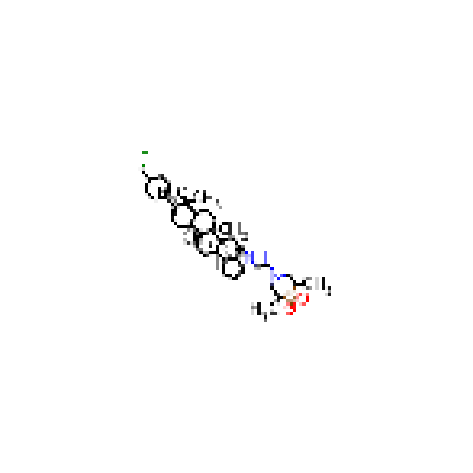 CC1CN(CCN[C@]23CCCC2[C@H]2CCC4C5(C)CC=C(C6=CCC(CF)CC6)C(C)(C)C5CC[C@@]4(C)[C@]2(C)CC3)CC(C)S1(=O)=O